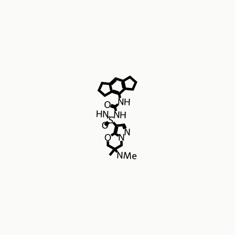 CNC1(C)COc2c(S(=N)(=O)NC(=O)Nc3c4c(cc5c3CCC5)CCC4)cnn2C1